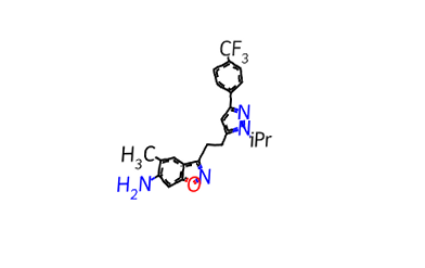 Cc1cc2c(CCc3cc(-c4ccc(C(F)(F)F)cc4)nn3C(C)C)noc2cc1N